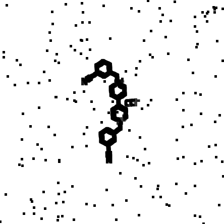 N#Cc1cccc(C[n+]2ccc(-c3cc[n+](Cc4cccc(C#N)c4)cc3)cc2)c1.[Cl-].[Cl-]